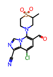 CC1CN(c2c(C=O)cc(Cl)c3c(C#N)ncn23)CCS1(=O)=O